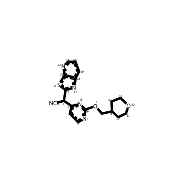 N#CC(c1ccnc(OCC2CCOCC2)n1)c1nc2cccnc2s1